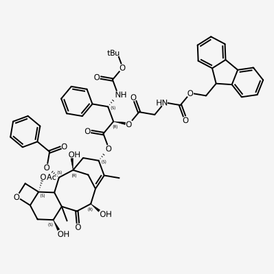 CC(=O)O[C@@]12COC1C[C@H](O)C1(C)C(=O)[C@H](O)C3=C(C)[C@@H](OC(=O)[C@H](OC(=O)CNC(=O)OCC4c5ccccc5-c5ccccc54)[C@@H](NC(=O)OC(C)(C)C)c4ccccc4)C[C@](O)(C3)[C@@H](OC(=O)c3ccccc3)C12